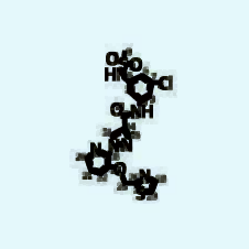 CS(=O)(=O)Nc1cc(Cl)cc(NC(=O)c2cnn(-c3ncccc3OCc3nccs3)c2)c1